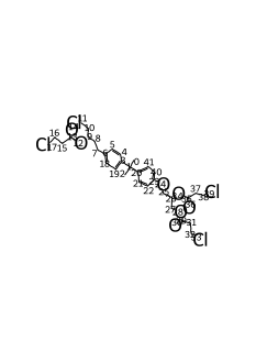 CC(C)(c1ccc(CCC(CCl)OC(=O)CCCl)cc1)c1ccc(OCC(COC(=O)CCCl)OC(=O)CCCl)cc1